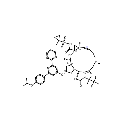 CC(C)Oc1ccc(-c2cc(O[C@@H]3C[C@H]4C(=O)N[C@]5(C(=O)NS(=O)(=O)C6(C)CC6)C[C@H]5/C=C\CC[C@@H](C)C[C@@H](C)[C@H](N(C(=O)O)C(C)(C)C(F)(F)F)C(=O)N4C3)cc(-c3ncccn3)n2)cc1